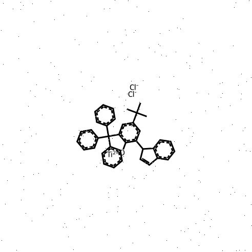 CC(C)(C)c1cc(C2C=Cc3ccccc32)c([O][Ti+2])c(C(c2ccccc2)(c2ccccc2)c2ccccc2)c1.[Cl-].[Cl-]